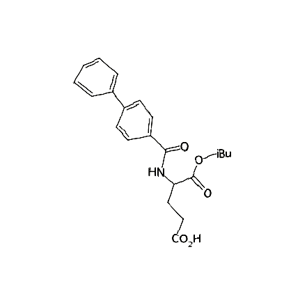 CCC(C)OC(=O)C(CCC(=O)O)NC(=O)c1ccc(-c2ccccc2)cc1